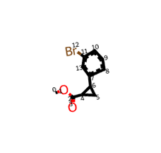 COC(=O)C1CC1c1cccc(Br)c1